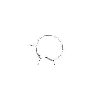 CC1=C/C(C)CCCCCCC\C(C)=C\1